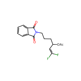 CC(=O)OC(C=C(F)F)CCCN1C(=O)c2ccccc2C1=O